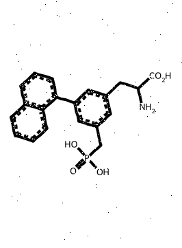 NC(Cc1cc(CP(=O)(O)O)cc(-c2cccc3ccccc23)c1)C(=O)O